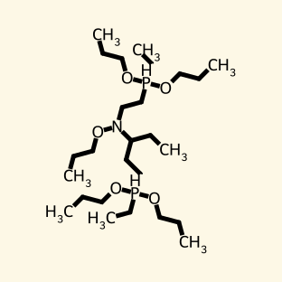 CCCON(CC[PH](CC)(OCCC)OCCC)C(CC)CC[PH](CC)(OCCC)OCCC